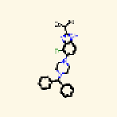 CCC(CC)c1nc2c(F)c(N3CCN(C(c4ccccc4)c4ccccc4)CC3)ccc2[nH]1